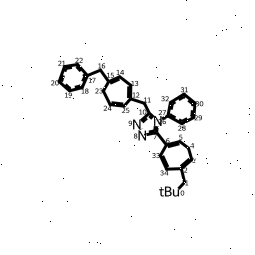 CC(C)(C)CC1=CCC=C(c2nnc(CC3=CC=C(Cc4ccccc4)CC=C3)n2-c2ccccc2)C=C1